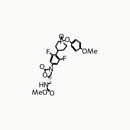 COC(=O)NC[C@H]1CN(c2cc(F)c(C3CCP(=O)(Oc4ccc(OC)cc4)CC3)c(F)c2)C(=O)O1